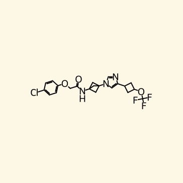 O=C(COc1ccc(Cl)cc1)NC12CC(n3cnc(C4CC(OC(F)(F)F)C4)c3)(C1)C2